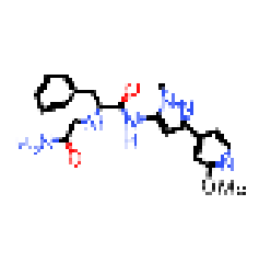 COc1cc(-c2cc(NC(=O)C(Cc3ccccc3)NCC(N)=O)n(C)n2)ccn1